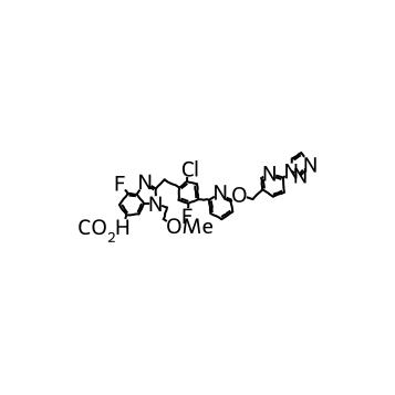 COCCn1c(Cc2cc(F)c(-c3cccc(OCc4ccc(-n5ccnn5)nc4)n3)cc2Cl)nc2c(F)cc(C(=O)O)cc21